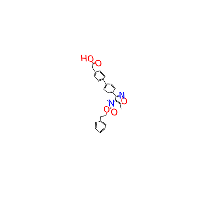 Cc1onc(-c2ccc(-c3ccc(CC(=O)O)cc3)cc2)c1N(C)C(=O)OCCc1ccccc1